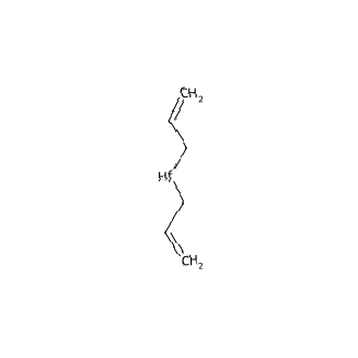 C=C[CH2][Hf][CH2]C=C